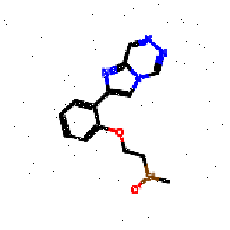 C[S+]([O-])CCOc1ccccc1-c1cn2cnncc2n1